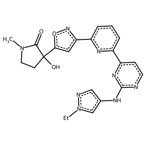 CCn1cc(Nc2nccc(-c3cccc(-c4cc(C5(O)CCN(C)C5=O)on4)n3)n2)cn1